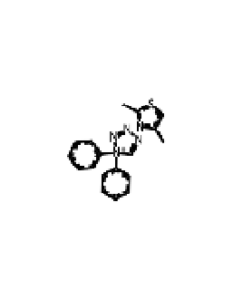 C1=NN=N[N+]1(c1ccccc1)c1ccccc1.Cc1csc(C)n1